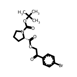 CC(C)(C)OC(=O)N1CCC[C@H]1C(=O)OCC(=O)c1ccc(Br)cc1